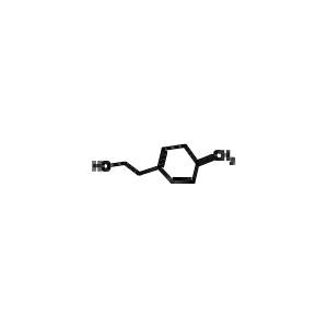 C=C1C=CC(CCO)=CC1